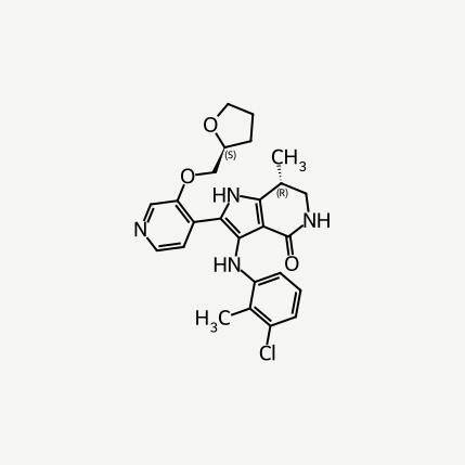 Cc1c(Cl)cccc1Nc1c(-c2ccncc2OC[C@@H]2CCCO2)[nH]c2c1C(=O)NC[C@H]2C